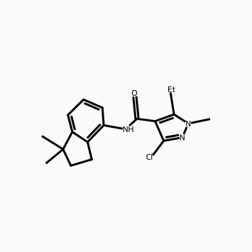 CCc1c(C(=O)Nc2cccc3c2CCC3(C)C)c(Cl)nn1C